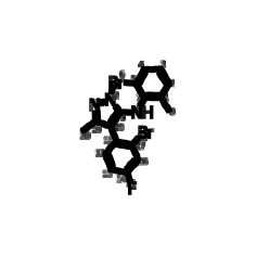 Cc1cccc(Br)c1Nc1c(-c2ccc(F)cc2Br)c(C)nn1C